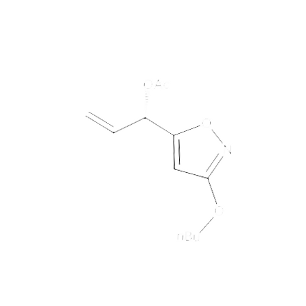 C=C[C@H](OC(C)=O)c1cc(OCCCC)no1